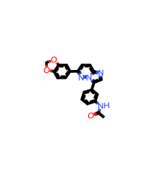 CC(=O)Nc1cccc(-c2cnc3ccc(-c4ccc5c(c4)OCO5)nn23)c1